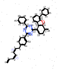 C=C/C=C\C=C/Cc1ccc(-c2nc(C3=CCC(C)c4oc5c(-c6ccccc6)cccc5c43)nc(-c3ccccc3)n2)cc1